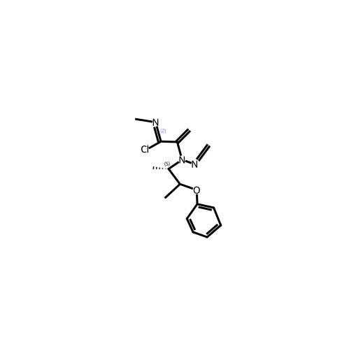 C=NN(C(=C)/C(Cl)=N/C)[C@@H](C)C(C)Oc1ccccc1